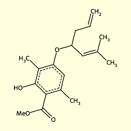 C=CCC(C=C(C)C)Oc1cc(C)c(C(=O)OC)c(O)c1C